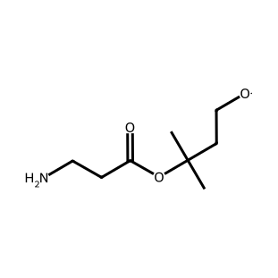 CC(C)(CC[O])OC(=O)CCN